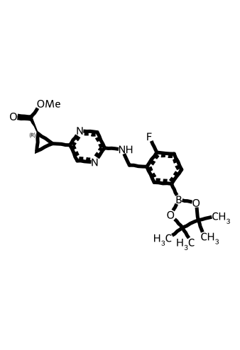 COC(=O)[C@@H]1CC1c1cnc(NCc2cc(B3OC(C)(C)C(C)(C)O3)ccc2F)cn1